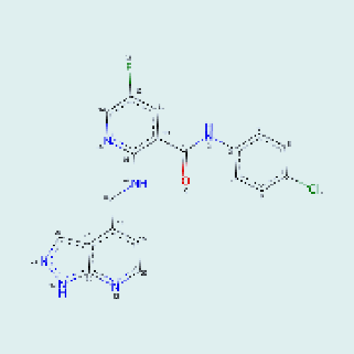 O=C(Nc1ccc(Cl)cc1)c1cc(F)cnc1NCc1ccnc2[nH]ncc12